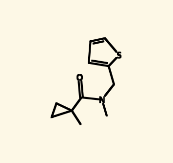 CN(Cc1cccs1)C(=O)C1(C)CC1